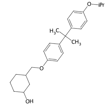 CC(C)Oc1ccc(C(C)(C)c2ccc(OCC3CCCC(O)C3)cc2)cc1